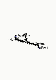 CCCCC/C=C\CC(CCCCCC)OC(=O)CCCCCCCN(CCCCCCCC(=O)OC(C/C=C\CCCCC)CCCCCC)OC(=O)CCCN(C)C